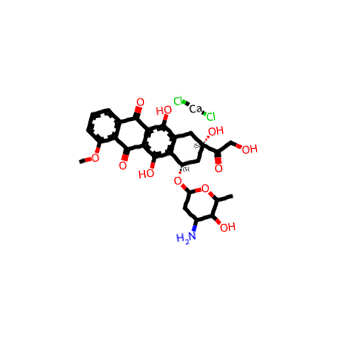 COc1cccc2c1C(=O)c1c(O)c3c(c(O)c1C2=O)C[C@@](O)(C(=O)CO)C[C@@H]3OC1CC(N)C(O)C(C)O1.[Cl][Ca][Cl]